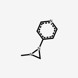 CN1CN1c1ccncc1